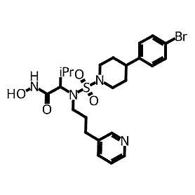 CC(C)C(C(=O)NO)N(CCCc1cccnc1)S(=O)(=O)N1CCC(c2ccc(Br)cc2)CC1